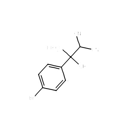 CCOC(=O)C(C)(c1ccc(Br)cc1)C(C#N)C#N